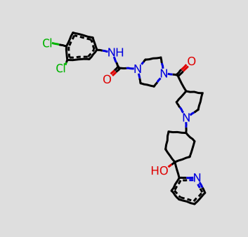 O=C(Nc1ccc(Cl)c(Cl)c1)N1CCN(C(=O)C2CCN(C3CCC(O)(c4ccccn4)CC3)C2)CC1